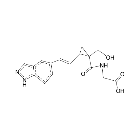 O=C(O)CNC(=O)C1(CO)CC1/C=C/c1ccc2[nH]ncc2c1